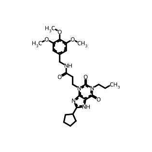 CCCn1c(=O)c2[nH]c(C3CCCC3)nc2n(CCC(=O)NCc2cc(OC)c(OC)c(OC)c2)c1=O